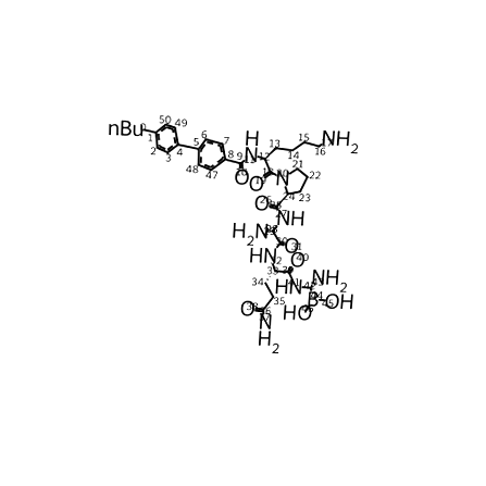 CCCCc1ccc(-c2ccc(C(=O)N[C@@H](CCCCN)C(=O)N3CCC[C@H]3C(=O)N[C@@H](N)C(=O)N[C@@H](CCC(N)=O)C(=O)N[C@@H](N)B(O)O)cc2)cc1